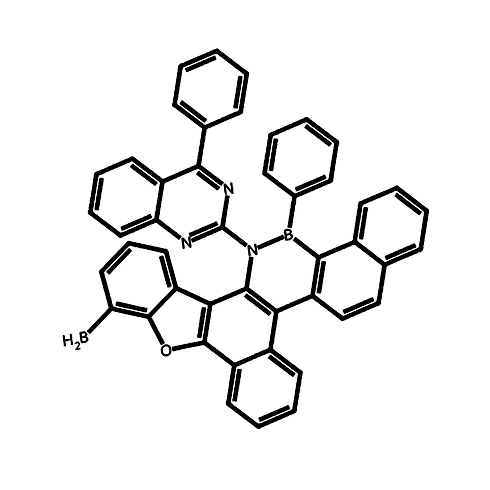 Bc1cccc2c1oc1c3ccccc3c3c(c21)N(c1nc(-c2ccccc2)c2ccccc2n1)B(c1ccccc1)c1c-3ccc2ccccc12